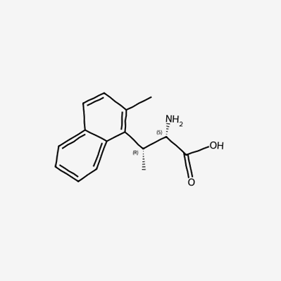 Cc1ccc2ccccc2c1[C@@H](C)[C@H](N)C(=O)O